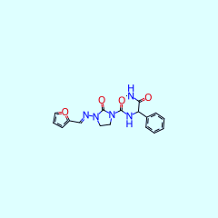 [NH]C(=O)C(NC(=O)N1CCN(/N=C/c2ccco2)C1=O)c1ccccc1